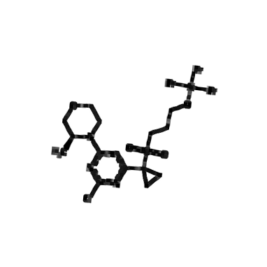 CC(C)[Si](OCCCS(=O)(=O)C1(c2cc(N3CCOC[C@@H]3C)nc(Cl)n2)CC1)(C(C)C)C(C)C